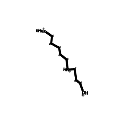 CCCCCCCCCCCNCCCO